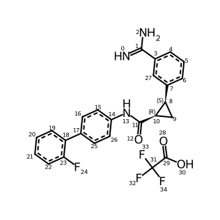 N=C(N)c1cccc([C@H]2C[C@H]2C(=O)Nc2ccc(-c3ccccc3F)cc2)c1.O=C(O)C(F)(F)F